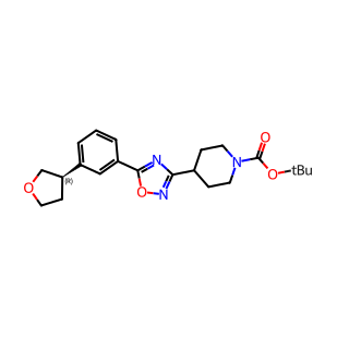 CC(C)(C)OC(=O)N1CCC(c2noc(-c3cccc([C@H]4CCOC4)c3)n2)CC1